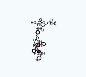 CN(C)CCCC[C@H](NC(=O)C1(C(=O)O)CCC1)C(=O)Nc1ccc(COC(=O)Nc2nnc(-c3ccccc3OP(=O)(O)O)cc2N2CC3CCC(C2)N3c2ccnc(O[C@H]3C[C@H](OC4CCNCC4)C3)c2)cc1